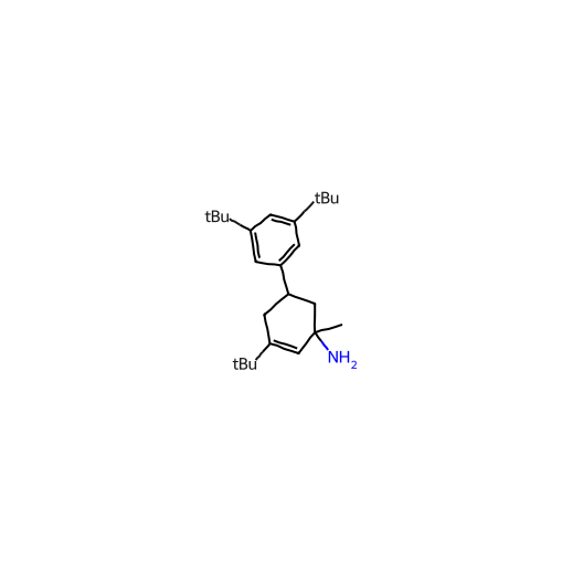 CC1(N)C=C(C(C)(C)C)CC(c2cc(C(C)(C)C)cc(C(C)(C)C)c2)C1